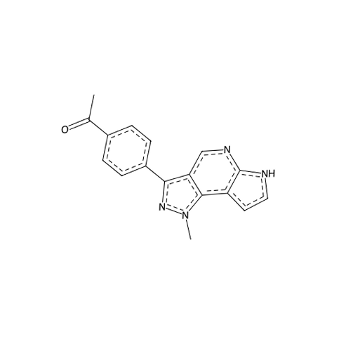 CC(=O)c1ccc(-c2nn(C)c3c2cnc2[nH]ccc23)cc1